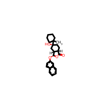 CC1([C@]2(O)CC[C@@H]3C(=O)O[C@@H](Oc4ccc5ccccc5c4)[C@@H]3C2)CCCCC1